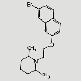 CC1CCCC(C)N1CCOc1ccc2ccc(Br)cc2c1